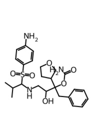 CC(C)C(NCC(O)C(Cc1ccccc1)(OC(N)=O)C1CCOC1)S(=O)(=O)c1ccc(N)cc1